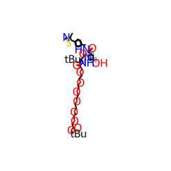 Cc1ncsc1-c1ccc(CNC(=O)[C@H]2C[C@H](O)CN2C(=O)[C@@H](NC(=O)COCCOCCOCCOCCOCCOCC(=O)OC(C)(C)C)C(C)(C)C)cc1